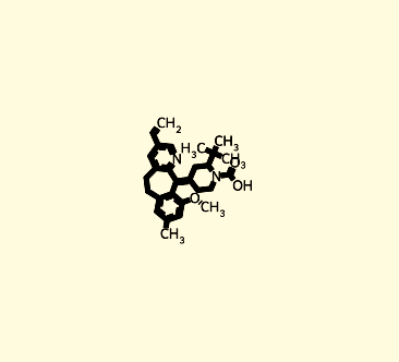 C=Cc1cnc2c(c1)CCc1cc(C)cc(OC)c1C2=C1CCN(C(=O)O)C(C(C)(C)C)C1